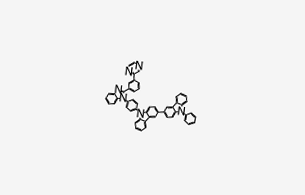 c1ccc(-n2c3ccccc3c3cc(-c4ccc5c(c4)c4ccccc4n5-c4ccc(-n5c(-c6cccc(-c7cnccn7)c6)nc6ccccc65)cc4)ccc32)cc1